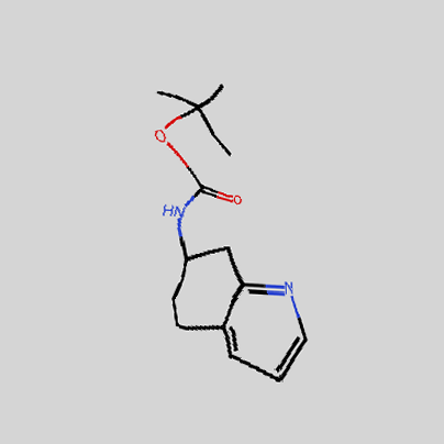 CC(C)(C)OC(=O)NC1CCc2cccnc2C1